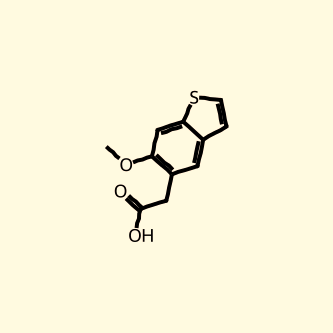 COc1cc2sccc2cc1CC(=O)O